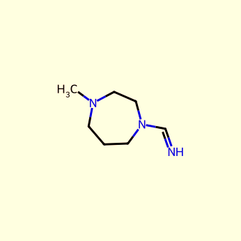 CN1CCCN(C=N)CC1